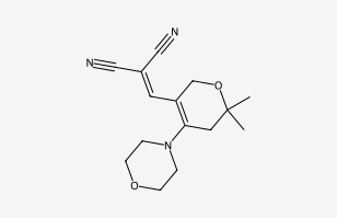 CC1(C)CC(N2CCOCC2)=C(C=C(C#N)C#N)CO1